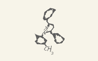 Cc1cccc(N2N=C(c3ccccc3)CC2c2ccccc2)c1